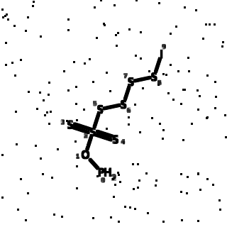 POS(=S)(=S)SSSSI